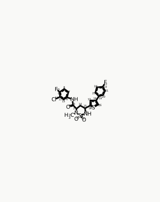 CN1C(C(=O)Nc2ccc(F)c(Cl)c2)CC(c2cc(-c3ccc(F)cc3)cs2)NS1(=O)=O